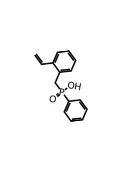 C=Cc1ccccc1CP(=O)(O)c1ccccc1